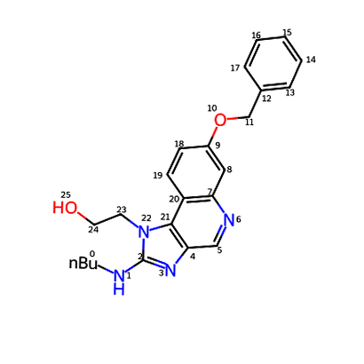 CCCCNc1nc2cnc3cc(OCc4ccccc4)ccc3c2n1CCO